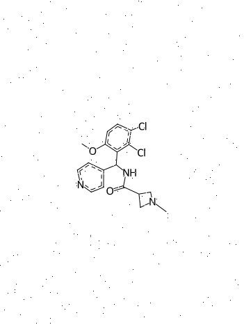 COc1ccc(Cl)c(Cl)c1C(NC(=O)C1CN(C)C1)c1ccncc1